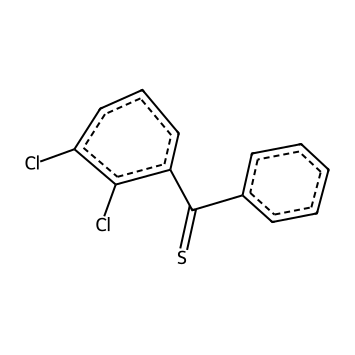 S=C(c1ccccc1)c1cccc(Cl)c1Cl